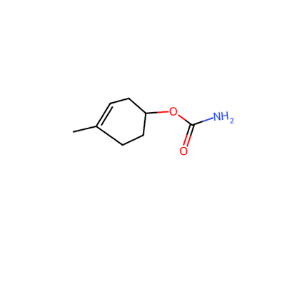 CC1=CCC(OC(N)=O)CC1